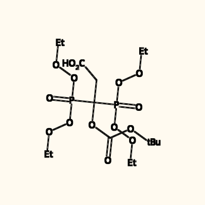 CCOOP(=O)(OOCC)C(CC(=O)O)(OC(=O)OC(C)(C)C)P(=O)(OOCC)OOCC